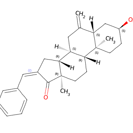 C=C1C[C@H]2[C@@H](CC[C@@]3(C)C(=O)/C(=C\c4ccccc4)C[C@H]23)[C@]2(C)CC[C@H](O)C[C@@H]12